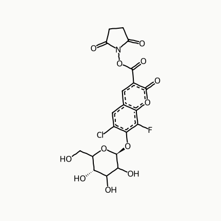 O=C(ON1C(=O)CCC1=O)c1cc2cc(Cl)c(O[C@@H]3OC(CO)[C@@H](O)C(O)C3O)c(F)c2oc1=O